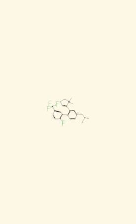 CC(C)Cc1ccc(-c2cc(C(F)(F)F)ccc2F)c(C2=CCCC2(C)C)c1